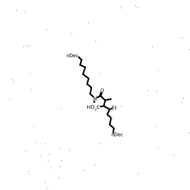 CCCCCCCCCCCCCCCCCCN(C)C(=O)C(C)C(C(=O)O)C(CC)CCCCCCCCCCCCCC